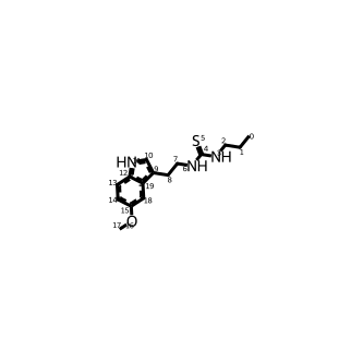 CCCNC(=S)NCCc1c[nH]c2ccc(OC)cc12